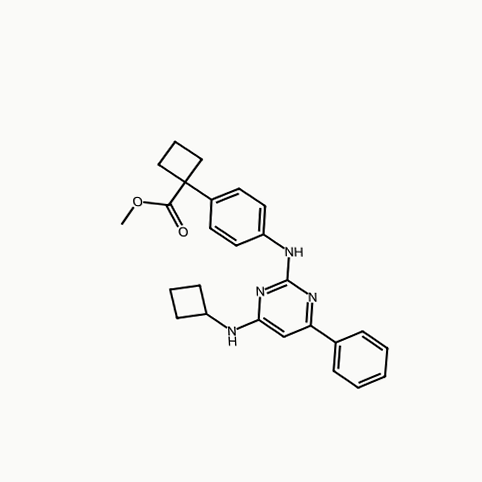 COC(=O)C1(c2ccc(Nc3nc(NC4CCC4)cc(-c4ccccc4)n3)cc2)CCC1